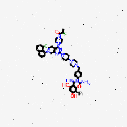 C=C(F)C(=O)N1CCN(c2nc(N3CCC(N4CCN(Cc5ccc(N(C(=N)c6cc(C(C)C)c(O)cc6O)C(N)=O)cc5)CC4)CC3)nc3c2CCN(c2cccc4cccc(Cl)c24)C3)CC1